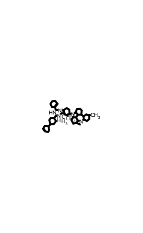 CC1CCC2C(C1)C1CCCC3N(C4CCCC(C)(C5NC(C6=CCCCC6)NC(C6CCC(C7CC=CCC7)CC6)N5)C4C)C4CCC5CN2C5C4C13C